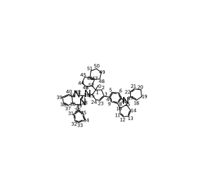 CC12CC(c3ccc4c(c3)C3C=CC=CC3N4C3=CCCC=C3)=CCC1N(C1=NC(c3ccccc3)C3C=CC=CC3=N1)C1CCC3=C(CCCC3)C12